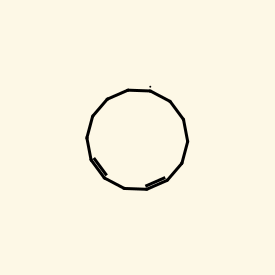 [CH]1CCCCC=CCC=CCCCC1